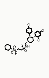 O=S(=O)(CCNS(=O)(=O)C1CCCCC1)NC[C@@H]1CC[C@@H](c2ccc(Cl)cc2Cl)N(c2ccc(Cl)cc2)C1